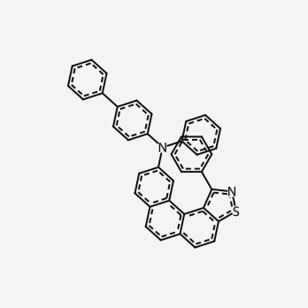 c1ccc(-c2ccc(N(c3ccccc3)c3ccc4ccc5ccc6snc(-c7ccccc7)c6c5c4c3)cc2)cc1